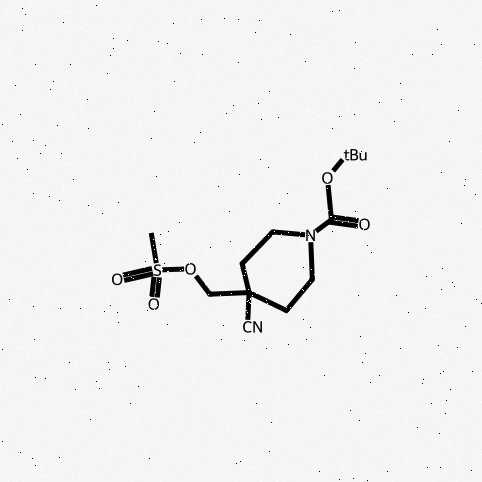 CC(C)(C)OC(=O)N1CCC(C#N)(COS(C)(=O)=O)CC1